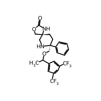 CC(OC[C@@]1(c2ccccc2)CC[C@@]2(CN1)COC(=O)N2)c1cc(C(F)(F)F)cc(C(F)(F)F)c1